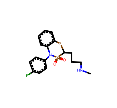 CNCCCC1Sc2ccccc2N(c2ccc(F)cc2)S1(=O)=O